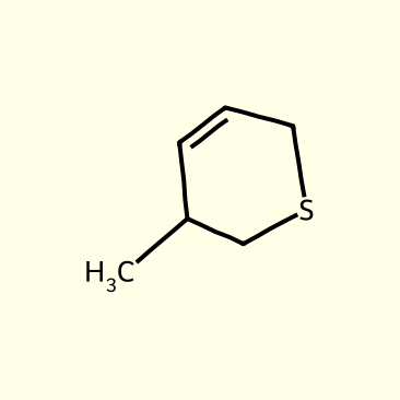 CC1C=CCSC1